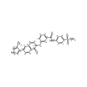 NS(=O)(=O)c1ccc(NC(=O)c2cccc(Cn3ccc4cc(-c5c[nH]nc5C(F)(F)F)ccc4c3=O)c2)cc1